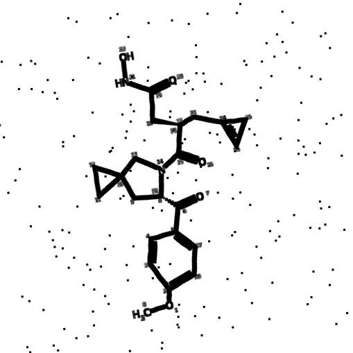 COc1ccc(C(=O)[C@@H]2CC3(CC3)CN2C(=O)[C@@H](CC(=O)NO)CC2=CC2)cc1